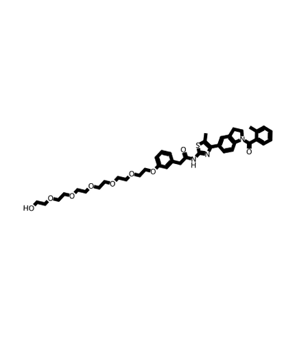 Cc1ccccc1C(=O)N1CCc2cc(-c3nc(NC(=O)Cc4cccc(OCCOCCOCCOCCOCCOCCO)c4)sc3C)ccc21